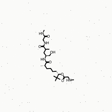 CNCC(=O)O[C@@H](CCCC[C@H](C)C(=O)N[C@H](CO)CC(C)C(=O)NCC(=O)NC)C(C)(C)C